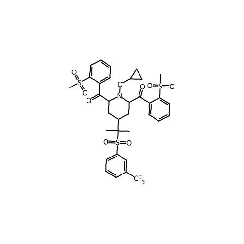 CC(C)(C1CC(C(=O)c2ccccc2S(C)(=O)=O)N(OC2CC2)C(C(=O)c2ccccc2S(C)(=O)=O)C1)S(=O)(=O)c1cccc(C(F)(F)F)c1